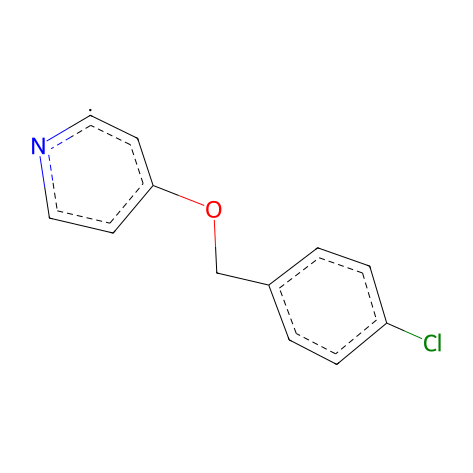 Clc1ccc(COc2c[c]ncc2)cc1